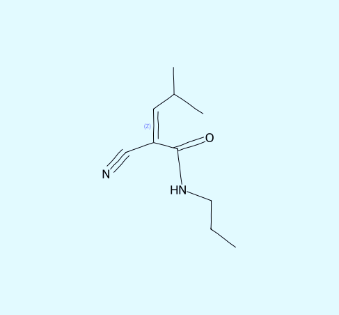 CCCNC(=O)/C(C#N)=C\C(C)C